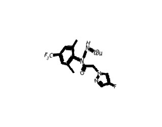 Cc1cc(C(F)(F)F)cc(C)c1N(NC(C)(C)C)C(=O)Cn1cc(F)cn1